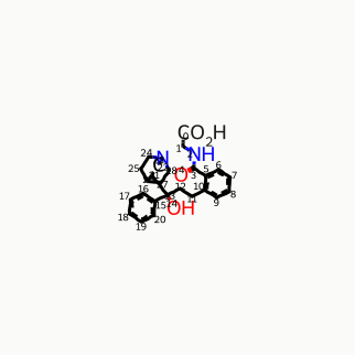 O=C(O)CNC(=O)c1ccccc1CCC(O)(c1ccccc1)C1CN2CCC1CC2